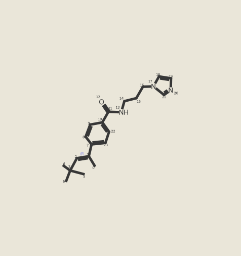 C/C(=C\C(C)(C)C)c1ccc(C(=O)NCCCn2ccnc2)cc1